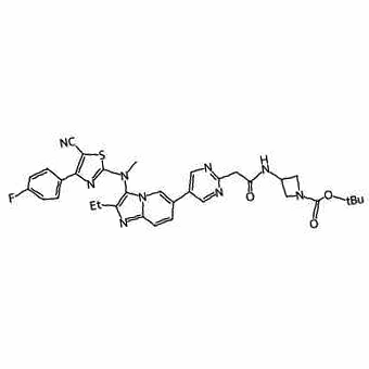 CCc1nc2ccc(-c3cnc(CC(=O)NC4CN(C(=O)OC(C)(C)C)C4)nc3)cn2c1N(C)c1nc(-c2ccc(F)cc2)c(C#N)s1